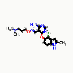 Cc1cc2c(F)c(Oc3ncnc(N)c3C=NOCCCN(C)C)ccc2[nH]1